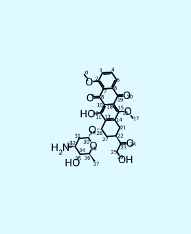 COc1cccc2c1C(=O)c1c(O)c3c(c(OC)c1C2=O)C[C@@H](C(=O)CO)C[C@@H]3O[C@H]1C[C@H](N)[C@@H](O)[C@H](C)O1